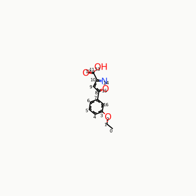 CCOc1cccc(-c2cc(C(=O)O)no2)c1